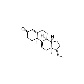 CC=C1CC[C@H]2[C@@H]3CCC4=CC(=O)CC[C@]4(C)C3=CC[C@]12C